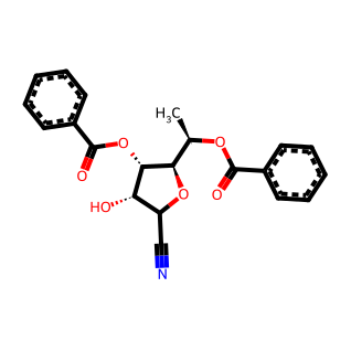 C[C@@H](OC(=O)c1ccccc1)[C@H]1OC(C#N)[C@H](O)[C@@H]1OC(=O)c1ccccc1